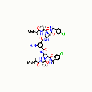 CN[C@@H](C)C(=O)N[C@H](C(=O)N1C[C@@H](NC(=O)c2cc(N)cc(C(=O)N[C@H]3C[C@@H](C(=O)N[C@H](C)c4ccc(Cl)cc4)N(C(=O)[C@@H](NC(=O)[C@H](C)NC)C(C)(C)C)C3)c2)C[C@H]1C(=O)N[C@H](C)c1ccc(Cl)cc1)C(C)(C)C